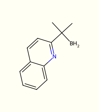 BC(C)(C)c1ccc2ccccc2n1